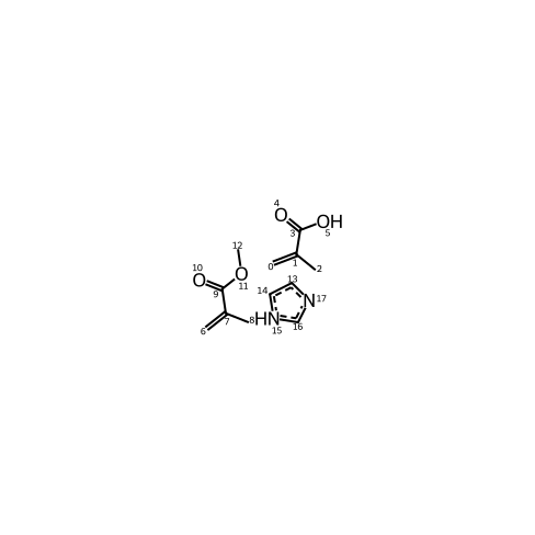 C=C(C)C(=O)O.C=C(C)C(=O)OC.c1c[nH]cn1